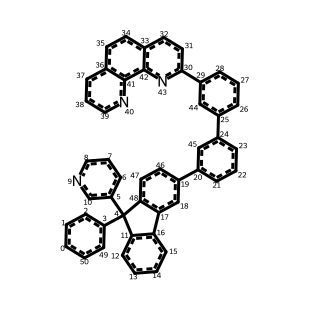 c1ccc(C2(c3cccnc3)c3ccccc3-c3cc(-c4cccc(-c5cccc(-c6ccc7ccc8cccnc8c7n6)c5)c4)ccc32)cc1